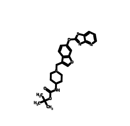 CC(C)(C)OC(=O)NC1CCN(Cc2coc3cc(Oc4nc5ncccc5s4)ccc23)CC1